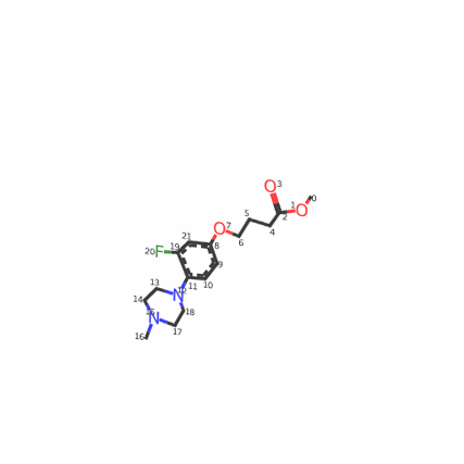 COC(=O)CCCOc1ccc(N2CCN(C)CC2)c(F)c1